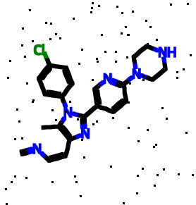 C=N/C=C\c1nc(-c2ccc(N3CCNCC3)nc2)n(-c2ccc(Cl)cc2)c1C